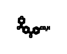 O=C(O)c1ccc(C(=O)N2CCN(C(=O)N3CCOCC3)CC2)cc1